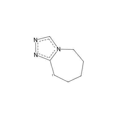 [C]1CCCCn2cnnc21